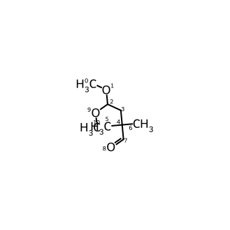 COC(CC(C)(C)C=O)OC